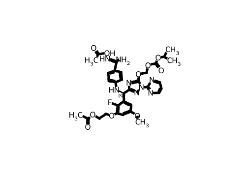 CC(=O)O.COc1cc(OCCOC(C)=O)c(F)c([C@@H](Nc2ccc(C(=N)N)cc2)c2nc(OCOC(=O)OC(C)C)n(-c3ncccn3)n2)c1